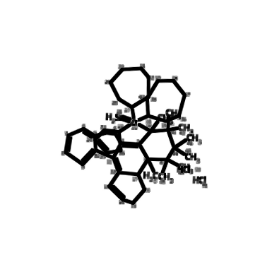 CC12C(=C3Cc4ccccc4C3=C3C=CCCC31)[C](C)([Zr](=[SiH2])([C]1=CC=CC1)([CH]1CCCCCC1)[CH]1CCCCCC1)C(C)(C)C(C)(C)C2(C)C.Cl.Cl